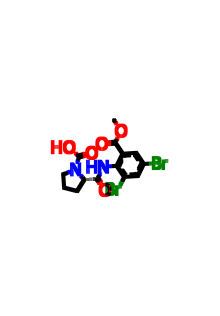 COC(=O)c1cc(Br)cc(Br)c1NC(=O)[C@@H]1CCCN1C(=O)O